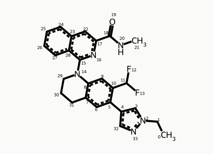 CCn1cc(-c2cc3c(cc2C(F)F)N(c2nc(C(=O)NC)cc4ccccc24)CCC3)cn1